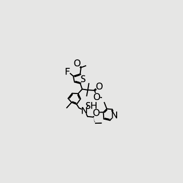 CC[C@H](CN(S)Cc1cc(C(c2cc(F)c(C(C)=O)s2)C(C)(C)C(=O)OC)ccc1C)Oc1ccncc1C